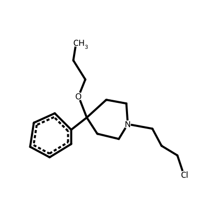 CCCOC1(c2ccccc2)CCN(CCCCl)CC1